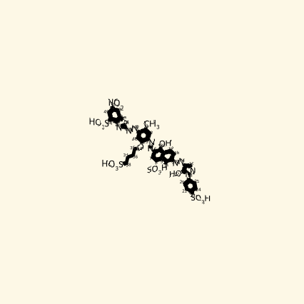 Cc1cc(N=Nc2ccc3c(S(=O)(=O)O)c(N=Nc4cnn(-c5ccc(S(=O)(=O)O)cc5)c4O)ccc3c2O)c(OCCCCS(=O)(=O)O)cc1N=Nc1nc2c(S(=O)(=O)O)cc([N+](=O)[O-])cc2s1